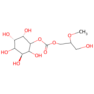 COC(CO)COC(=O)OC1C(O)[C@@H](O)C(O)[C@H](O)[C@@H]1O